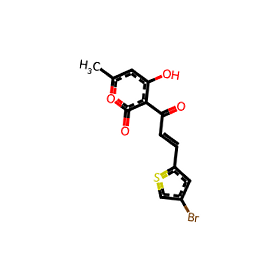 Cc1cc(O)c(C(=O)/C=C/c2cc(Br)cs2)c(=O)o1